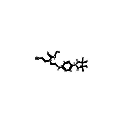 CC(C)(C)OC(=O)N(CCO)CCOc1ccc(B2OC(C)(C)C(C)(C)O2)cc1